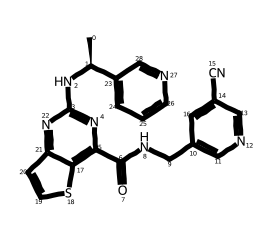 C[C@H](Nc1nc(C(=O)NCc2cncc(C#N)c2)c2sccc2n1)c1cccnc1